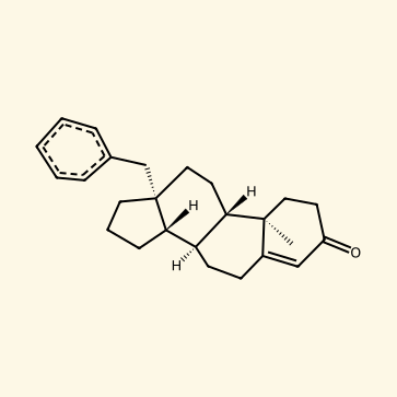 C[C@]12CCC(=O)C=C1CC[C@H]1[C@@H]3CCC[C@@]3(Cc3ccccc3)CC[C@@H]12